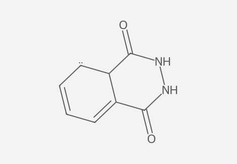 O=C1NNC(=O)C2[C]C=CC=C12